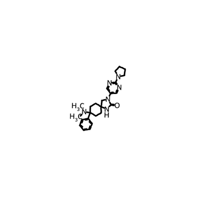 CN(C)C1(c2ccccc2)CCC2(CC1)CN(c1cnc(N3CCCC3)nc1)C(=O)N2